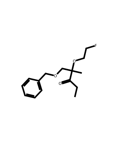 CCC(=O)C(C)(COCc1ccccc1)OCCF